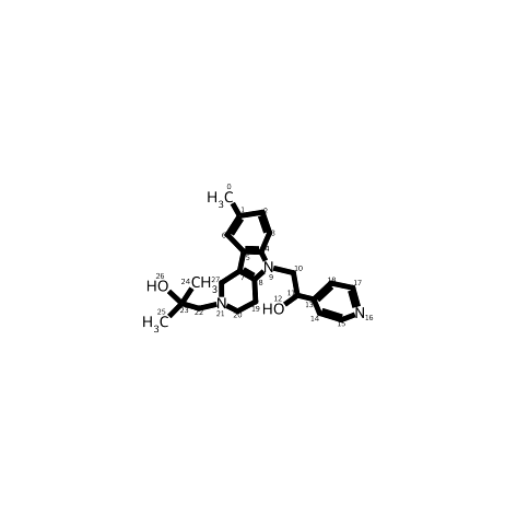 Cc1ccc2c(c1)c1c(n2CC(O)c2ccncc2)CCN(CC(C)(C)O)C1